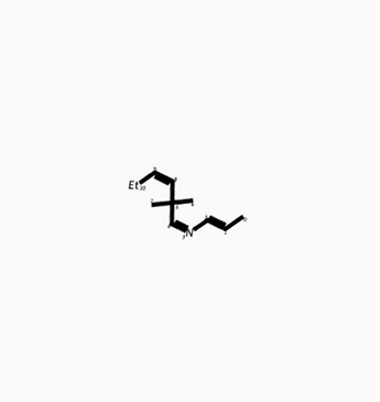 C/C=C/N=C\C(C)(C)/C=C\CC